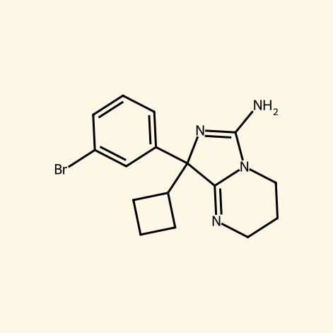 NC1=NC(c2cccc(Br)c2)(C2CCC2)C2=NCCCN12